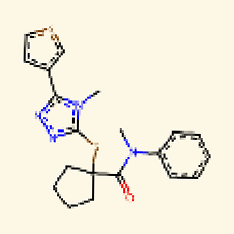 CN(C(=O)C1(Sc2nnc(-c3ccsc3)n2C)CCCC1)c1ccccc1